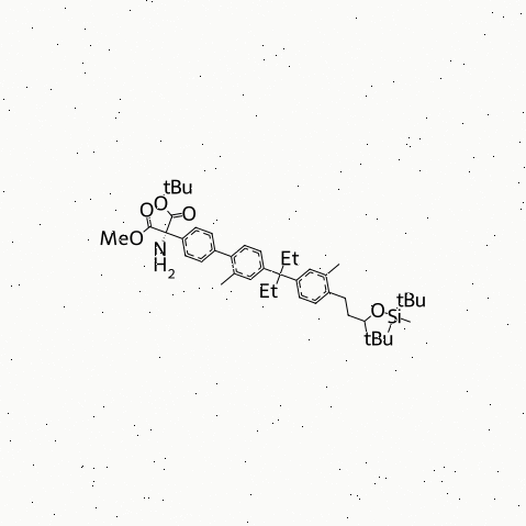 CCC(CC)(c1ccc(CCC(O[Si](C)(C)C(C)(C)C)C(C)(C)C)c(C)c1)c1ccc(-c2ccc([C@@](N)(C(=O)OC)C(=O)OC(C)(C)C)cc2)c(C)c1